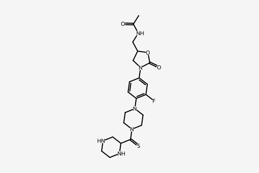 CC(=O)NCC1CN(c2ccc(N3CCN(C(=S)C4CNCCN4)CC3)c(F)c2)C(=O)O1